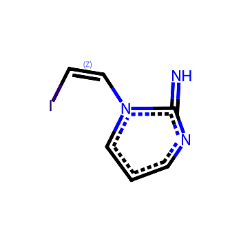 N=c1ncccn1/C=C\I